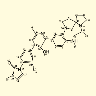 CNc1ccc(-c2nc(C)cc(-c3ccc(-n4ccn(C)c4=O)c(Cl)c3)c2O)cc1N1CCC2(CCCN2C(C)C)C1